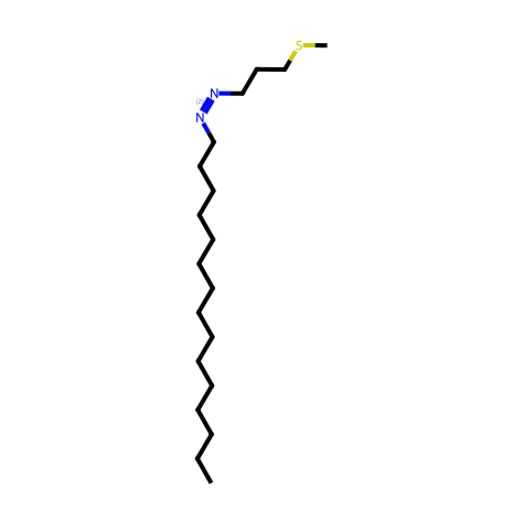 CCCCCCCCCCCCCCC/N=N\CCCSC